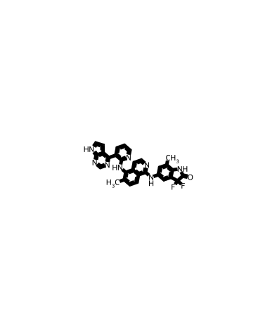 Cc1cc(Nc2nccc3c(Nc4ncccc4-c4ncnc5[nH]ccc45)c(C)ccc23)cc2c1NC(=O)C2(F)F